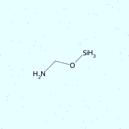 NCO[SiH3]